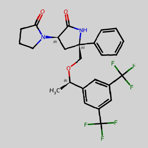 C[C@@H](OC[C@@]1(c2ccccc2)C[C@@H](N2CCCC2=O)C(=O)N1)c1cc(C(F)(F)F)cc(C(F)(F)F)c1